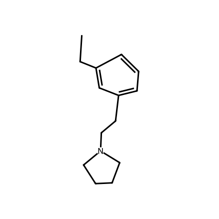 CCc1cccc(CCN2CCCC2)c1